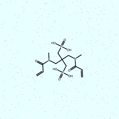 C=CC(=O)N(C)CC(CN(C)C(=O)C=C)(CP(=O)(O)O)CP(=O)(O)O